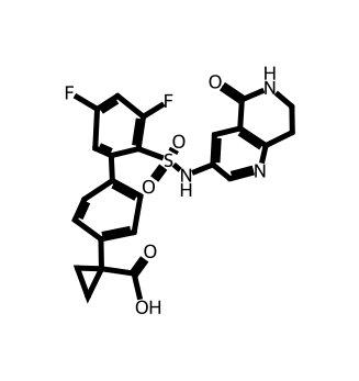 O=C1NCCc2ncc(NS(=O)(=O)c3c(F)cc(F)cc3-c3ccc(C4(C(=O)O)CC4)cc3)cc21